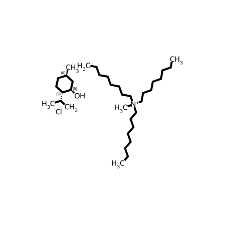 CC(C)[C@@H]1CC[C@@H](C)C[C@H]1O.CCCCCCCC[N+](C)(CCCCCCCC)CCCCCCCC.[Cl-]